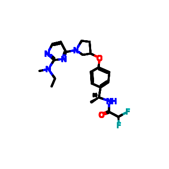 CCN(C)c1nccc(N2CCC(Oc3ccc([C@H](C)NC(=O)C(F)F)cc3)C2)n1